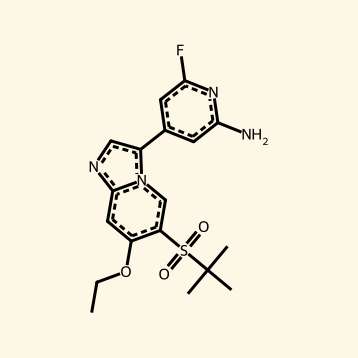 CCOc1cc2ncc(-c3cc(N)nc(F)c3)n2cc1S(=O)(=O)C(C)(C)C